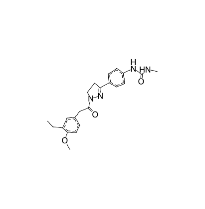 CCc1cc(CC(=O)N2CCC(c3ccc(NC(=O)NC)cc3)=N2)ccc1OC